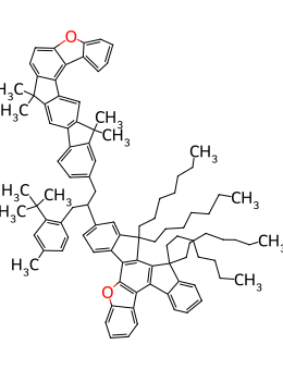 CCCCCCCC1(CCCCCCC)c2cc(C(Cc3ccc4c(c3)C(C)(C)c3cc5c(cc3-4)C(C)(C)c3ccc4oc6ccccc6c4c3-5)Cc3ccc(C)cc3C(C)(C)C)ccc2-c2c1c1c(c3c2oc2ccccc23)-c2ccccc2C1(CCCCCCC)CCCCCCC